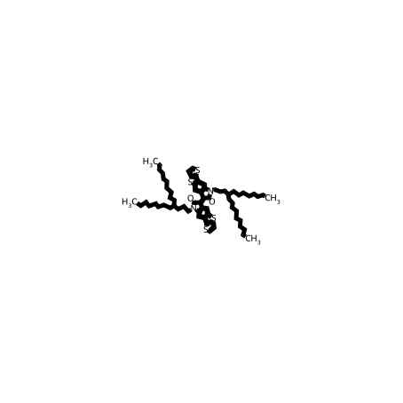 CCCCCCCCCCC(CCCCCCCC)CCCN1C(=O)/C(=C2/C(=O)N(CCCC(CCCCCCCC)CCCCCCCCCC)c3cc4c(cc32)sc2ccsc24)c2cc3sc4ccsc4c3cc21